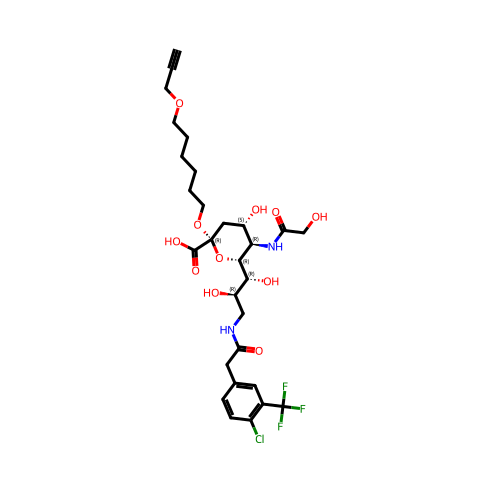 C#CCOCCCCCCO[C@]1(C(=O)O)C[C@H](O)[C@@H](NC(=O)CO)[C@H]([C@H](O)[C@H](O)CNC(=O)Cc2ccc(Cl)c(C(F)(F)F)c2)O1